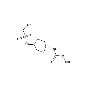 CC(C)CS(=O)(=O)O[C@H]1CC[C@H](NC(=O)OC(C)(C)C)CC1